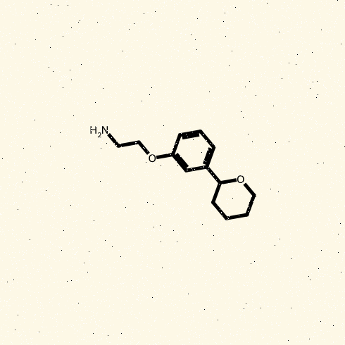 NCCOc1cccc(C2CCCCO2)c1